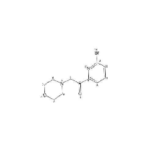 O=C(CN1CCOCC1)c1cccc(Br)n1